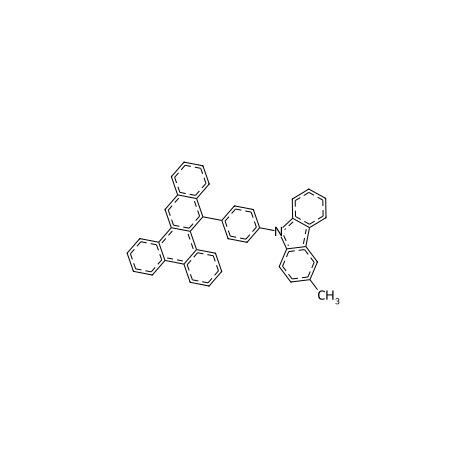 Cc1ccc2c(c1)c1ccccc1n2-c1ccc(-c2c3ccccc3cc3c4ccccc4c4ccccc4c23)cc1